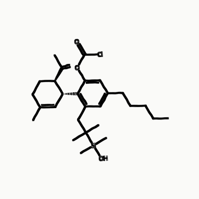 C=C(C)[C@@H]1CCC(C)=C[C@H]1c1c(CC(C)(C)[Si](C)(C)O)cc(CCCCC)cc1OC(=O)Cl